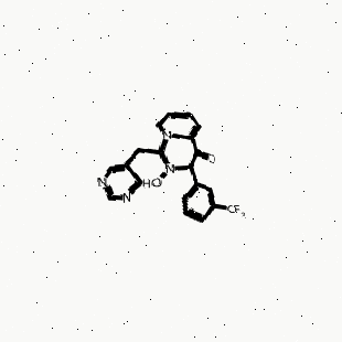 O=C1C2=CC=CCN2C(Cc2cncnc2)N(O)C1c1cccc(C(F)(F)F)c1